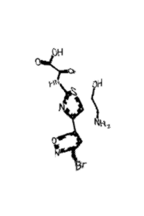 NCCO.O=C(O)C(=O)Nc1nc(-c2cc(Br)no2)cs1